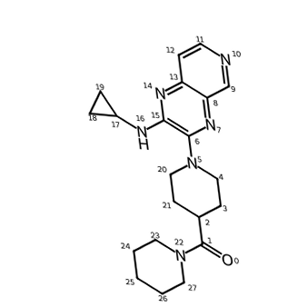 O=C(C1CCN(c2nc3cnccc3nc2NC2CC2)CC1)N1CCCCC1